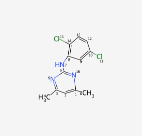 Cc1cc(C)nc(Nc2cc(Cl)ccc2Cl)n1